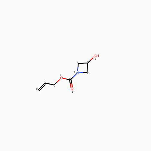 C=CCOC(=O)N1CC(O)C1